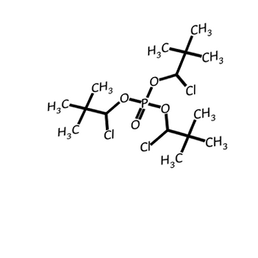 CC(C)(C)C(Cl)OP(=O)(OC(Cl)C(C)(C)C)OC(Cl)C(C)(C)C